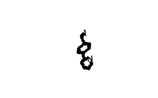 ICc1ccc(-c2ccccn2)cc1